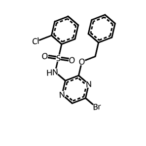 O=S(=O)(Nc1ncc(Br)nc1OCc1ccccc1)c1ccccc1Cl